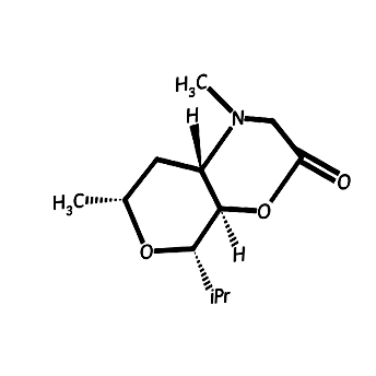 CC(C)[C@@H]1O[C@H](C)C[C@H]2[C@H]1OC(=O)CN2C